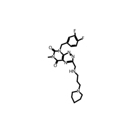 Cn1c(=O)c2nc(CNCCCN3CCCCC3)nnc2n(Cc2ccc(F)c(F)c2)c1=O